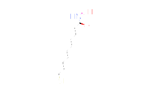 O=C(CCCCCCCCCS)NO